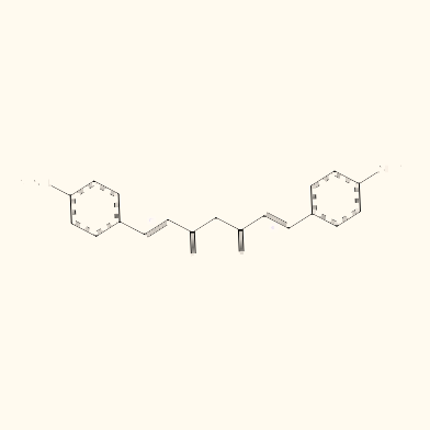 CC(=O)Nc1ccc(/C=C/C(=O)CC(=O)/C=C/c2ccc(NC(C)=O)cc2)cc1